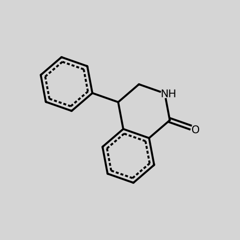 O=C1NCC(c2ccccc2)c2ccccc21